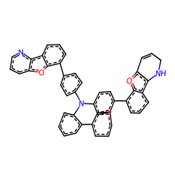 C1=Cc2oc3c(-c4ccc(N(c5ccc(-c6cccc7c6oc6cccnc67)cc5)c5ccccc5-c5ccccc5)cc4)cccc3c2NC1